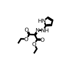 CCOC(=O)C(=NNc1ccc[nH]1)C(=O)OCC